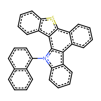 c1ccc2c(-n3c4ccccc4c4c5ccccc5c5sc6ccccc6c5c43)cccc2c1